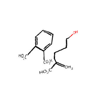 C=C(CCCO)C(=O)O.O=C(O)c1ccccc1C(=O)O